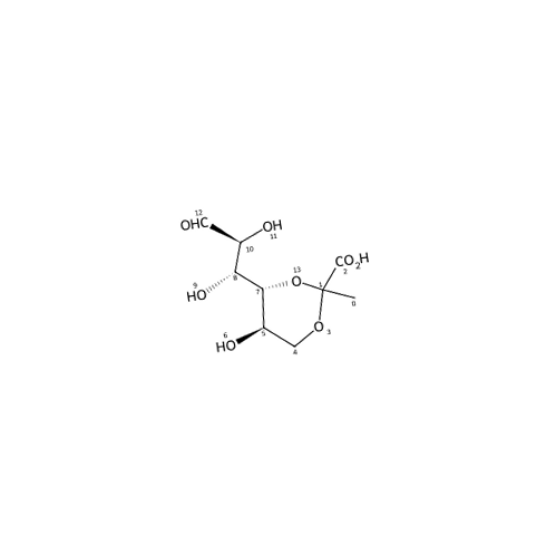 CC1(C(=O)O)OC[C@@H](O)[C@H]([C@H](O)[C@H](O)C=O)O1